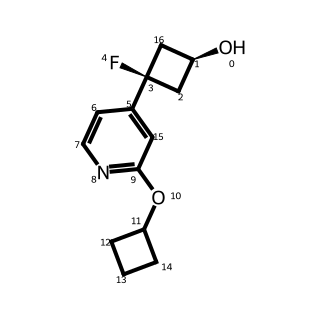 O[C@H]1C[C@](F)(c2ccnc(OC3CCC3)c2)C1